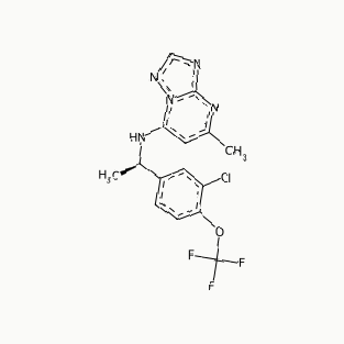 Cc1cc(N[C@H](C)c2ccc(OC(F)(F)F)c(Cl)c2)n2ncnc2n1